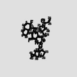 C#Cc1c(F)ccc2cccc(-c3ncc4c(N(C)[C@@H]5CCN(C(=O)C=C)[C@@H]5C)nc(OCC56CCCN5CC5(CC5)C6)nc4c3F)c12